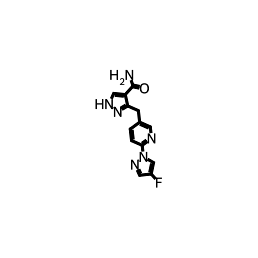 NC(=O)c1c[nH]nc1Cc1ccc(-n2cc(F)cn2)nc1